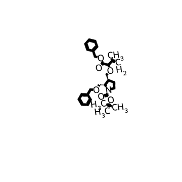 C=C(C)C(OC[C@H]1CCN(C(=O)OC(C)(C)C)[C@@H]1COCc1ccccc1)C(=O)OCc1ccccc1